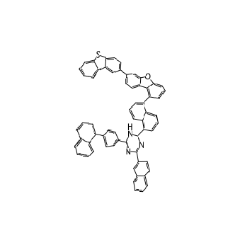 c1ccc2cc(C3=NC(c4cccc5c(-c6cccc7oc8cc(-c9ccc%10sc%11ccccc%11c%10c9)ccc8c67)cccc45)NC(c4ccc(-c5cccc6ccccc56)cc4)=N3)ccc2c1